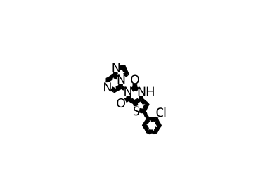 O=c1[nH]c2cc(-c3ccccc3Cl)sc2c(=O)n1-c1cncc2nccn12